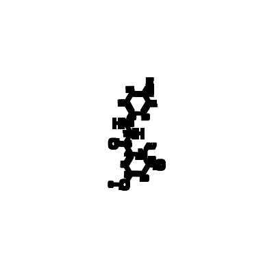 COc1cc(C(=O)NNc2ccc(F)cc2)n(C)c(=O)c1